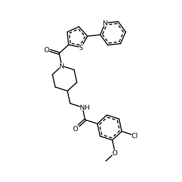 COc1cc(C(=O)NCC2CCN(C(=O)c3ccc(-c4ccccn4)s3)CC2)ccc1Cl